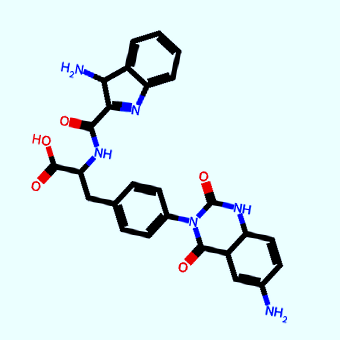 NC1=CC2C(=O)N(c3ccc(CC(NC(=O)C4=Nc5ccccc5C4N)C(=O)O)cc3)C(=O)NC2C=C1